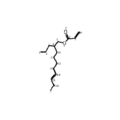 C=CC(=O)OCC(CCC)CCCCC=CCC